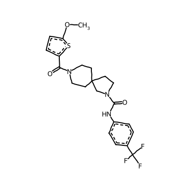 COc1ccc(C(=O)N2CCC3(CCN(C(=O)Nc4ccc(C(F)(F)F)cc4)C3)CC2)s1